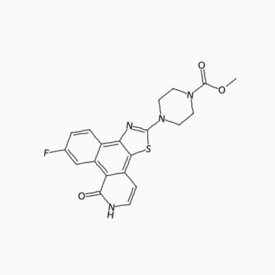 COC(=O)N1CCN(c2nc3c4ccc(F)cc4c4c(=O)[nH]ccc4c3s2)CC1